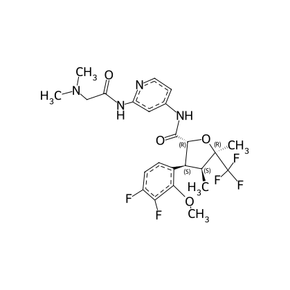 COc1c([C@H]2[C@H](C(=O)Nc3ccnc(NC(=O)CN(C)C)c3)O[C@@](C)(C(F)(F)F)[C@H]2C)ccc(F)c1F